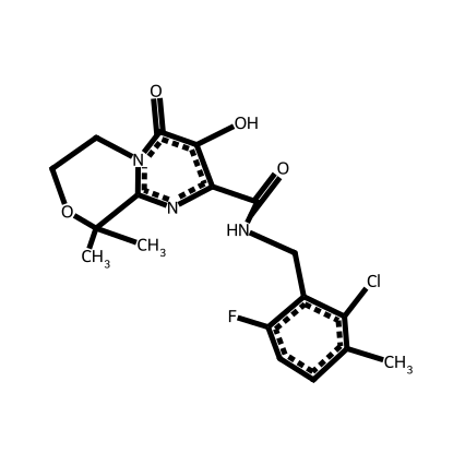 Cc1ccc(F)c(CNC(=O)c2nc3n(c(=O)c2O)CCOC3(C)C)c1Cl